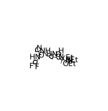 CCN(CC)N(CC)C(=O)c1c(C)[nH]c(C=C2C(=O)Nc3cc(C=CCNc4ncccc4C(=O)NCc4ccc(F)c(F)c4)ccc32)c1C